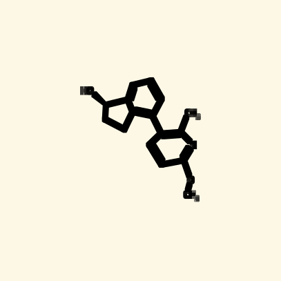 COc1ccc(-c2cccc3c2CC[C@H]3O)c(C)n1